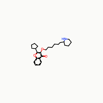 O=c1c(OCCCCCCC2CCCCN2)c(C2CCCC2)oc2ccccc12